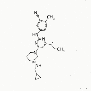 CCCc1cc(N2CCC[C@@H](NCC3CC3)C2)nc(Nc2ccc(C)c(C#N)c2)n1